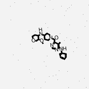 COC1COCCC1NC1CCN(C(=O)c2ncnc(Nc3ccccc3)c2C)CC1